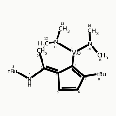 CC(NC(C)(C)C)=C1C=CC(C(C)(C)C)=[C]1[Mo]([N](C)C)[N](C)C